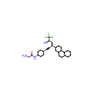 N=C(/C=C(\C#Cc1ccc(NC(=O)CN)cc1)c1ccc2c(ccc3ccccc32)c1)C(F)(F)F